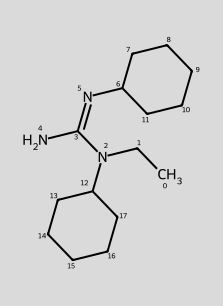 CCN(C(N)=NC1CCCCC1)C1CCCCC1